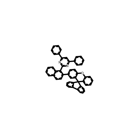 c1ccc(-c2cc(-c3ccccc3)nc(-c3c(-c4ccc5c(c4)C4(c6ccccc6O5)c5ccccc5-c5ccccc54)ccc4ccccc34)n2)cc1